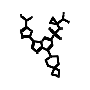 O=S(=O)(NC1(C(F)F)CC1)c1cc(N2CCC3(CC2)COC3)c2ncc(-c3nnc(C(F)F)s3)n2c1